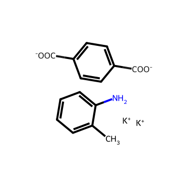 Cc1ccccc1N.O=C([O-])c1ccc(C(=O)[O-])cc1.[K+].[K+]